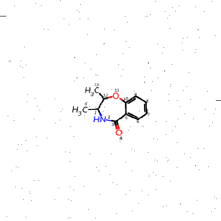 CC1NC(=O)c2ccccc2OC1C